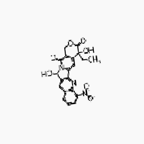 CCC1(O)C(=O)OCc2c1cc1n(c2=O)C(O)c2cc3cccc([N+](=O)[O-])c3nc2-1